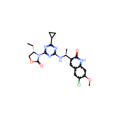 CC[C@H]1COC(=O)N1c1nc(N[C@@H](C)c2cc3cc(Cl)c(OC)cc3[nH]c2=O)nc(C2CC2)n1